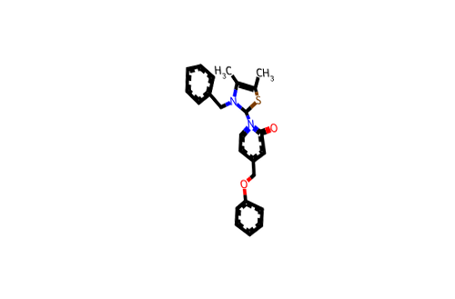 CC1=C(C)N(Cc2ccccc2)C(n2ccc(COc3ccccc3)cc2=O)S1